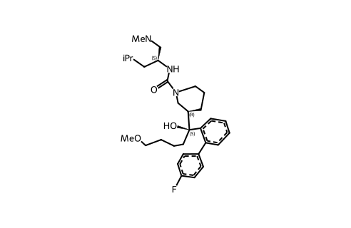 CNC[C@H](CC(C)C)NC(=O)N1CCC[C@@H]([C@@](O)(CCCCOC)c2ccccc2-c2ccc(F)cc2)C1